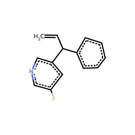 C=CC(c1ccccc1)c1cncc(F)c1